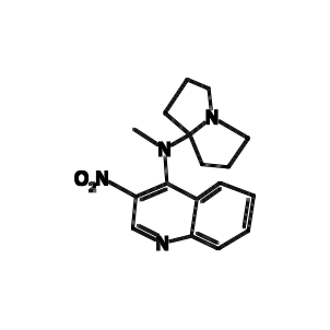 CN(c1c([N+](=O)[O-])cnc2ccccc12)C12CCCN1CCC2